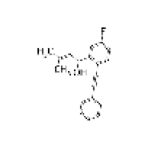 CC(C)=CC(O)c1cc(F)ccc1C#Cc1ccccc1